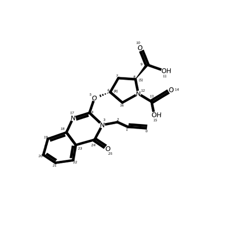 C=CCn1c(O[C@@H]2C[C@@H](C(=O)O)N(C(=O)O)C2)nc2ccccc2c1=O